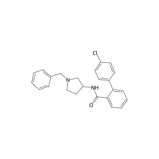 O=C(NC1CCN(Cc2ccccc2)C1)c1ccccc1-c1ccc(Cl)cc1